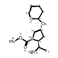 CCCC(F)[C@@H]1C[C@@H](OC2CCCCO2)CN1C(=O)OC(C)(C)C